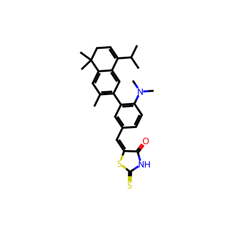 Cc1cc2c(cc1-c1cc(/C=C3/SC(=S)NC3=O)ccc1N(C)C)C(C(C)C)=CCC2(C)C